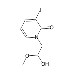 COC(O)Cn1cccc(I)c1=O